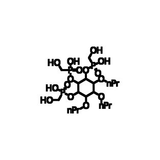 CCCOC1C(OCCC)C(OP(=O)(O)CO)C(OP(=O)(O)CO)C(OP(=O)(O)CO)C1OCCC